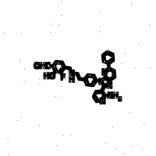 Nc1ncccc1-c1nc2ccc(-c3ccccc3)nc2n1-c1ccc(CCNCc2ccc(C=O)c(O)c2F)cc1